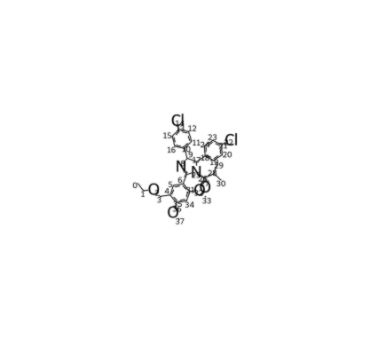 CCOCc1cc(C2=NC(c3ccc(Cl)cc3)C(c3ccc(Cl)cc3)N2C(=O)C(C)C)c(OC)cc1OC